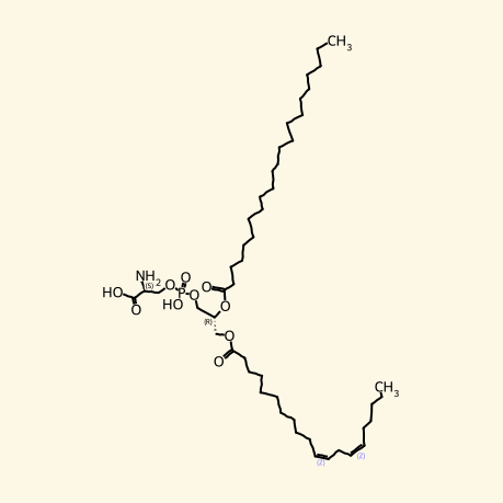 CCCCC/C=C\C/C=C\CCCCCCCCCC(=O)OC[C@H](COP(=O)(O)OC[C@H](N)C(=O)O)OC(=O)CCCCCCCCCCCCCCCCCCCCC